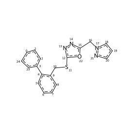 c1ccc(-c2ccccc2CSc2nnc(Cn3cccn3)o2)cc1